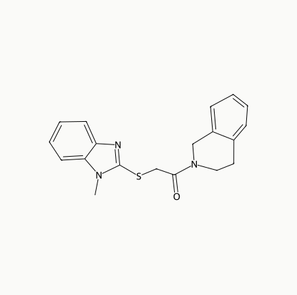 Cn1c(SCC(=O)N2CCc3ccccc3C2)nc2ccccc21